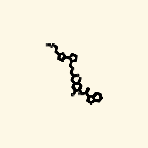 O=C(O)CCc1cnc(N2CCC[C@H]2COCC(=O)Cc2cc(Cl)c(NC(=O)c3csc4ccccc34)cc2F)s1